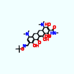 CNC(=O)C1=C(O)C(N(C)C)C2CC3Cc4c(N(C)C)cc(/C=N/OC(C)(C)C)c(O)c4C(=O)C3=C(O)C2(O)C1=O